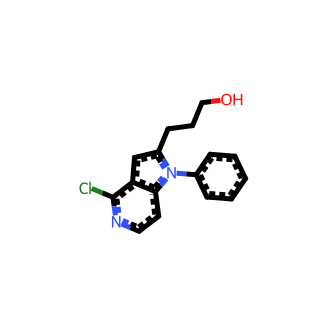 OCCCc1cc2c(Cl)nccc2n1-c1ccccc1